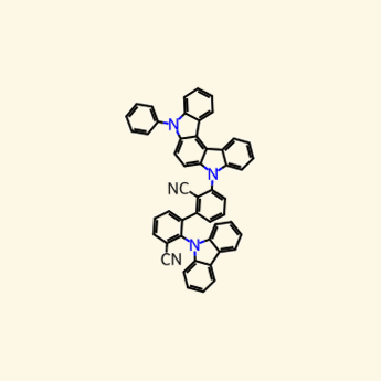 N#Cc1cccc(-c2cccc(-n3c4ccccc4c4c5c6ccccc6n(-c6ccccc6)c5ccc43)c2C#N)c1-n1c2ccccc2c2ccccc21